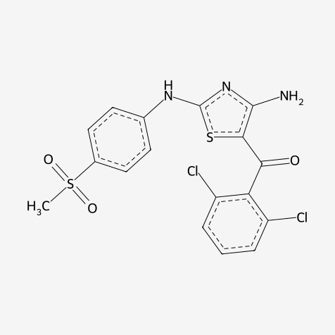 CS(=O)(=O)c1ccc(Nc2nc(N)c(C(=O)c3c(Cl)cccc3Cl)s2)cc1